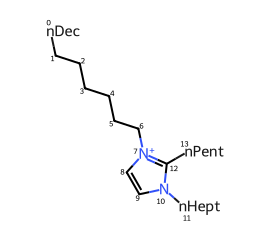 CCCCCCCCCCCCCCCC[n+]1ccn(CCCCCCC)c1CCCCC